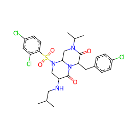 CC(C)CNC1CN(S(=O)(=O)c2ccc(Cl)cc2Cl)C2CN(C(C)C)C(=O)C(Cc3ccc(Cl)cc3)N2C1=O